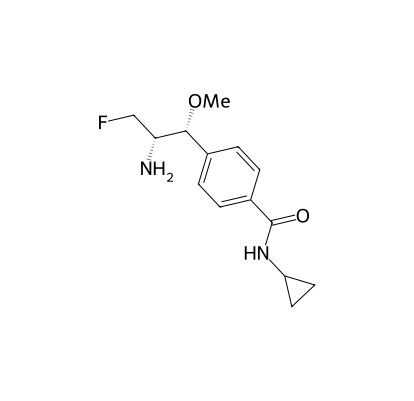 CO[C@H](c1ccc(C(=O)NC2CC2)cc1)[C@H](N)CF